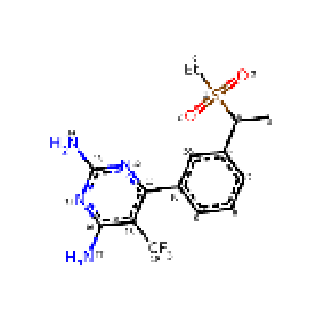 CCS(=O)(=O)C(C)c1cccc(-c2nc(N)nc(N)c2C(F)(F)F)c1